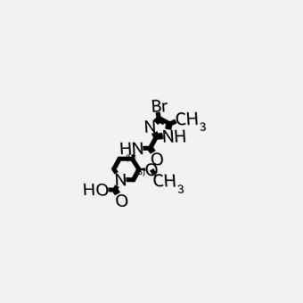 CO[C@H]1CN(C(=O)O)CC[C@H]1NC(=O)c1nc(Br)c(C)[nH]1